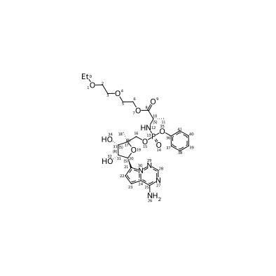 CCOCCOCCOC(=O)[C@H](C)NP(=O)(OC[C@@]1(C)O[C@@H](c2ccc3c(N)ncnn23)[C@H](O)[C@@H]1O)Oc1ccccc1